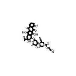 COCCOC(=O)N1CCN(C2C[C@H](O[C@H]3C[C@](O)(C(C)=O)Cc4c(O)c5c(c(O)c43)C(=O)c3c(OC)cccc3C5=O)O[C@H](C)C2O)C(C#N)C1